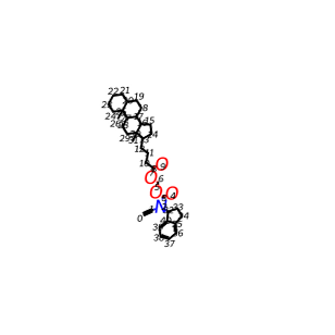 C#CN(C(=O)OCOC(=O)CCCC1CCC2C3CCC4CCCCC4(C)C3CCC12C)C1CCc2ccccc21